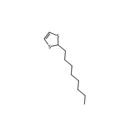 CCCCCCCCC1SC=CS1